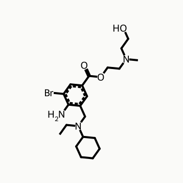 CCN(Cc1cc(C(=O)OCCN(C)CCO)cc(Br)c1N)C1CCCCC1